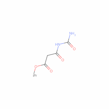 CC(C)OC(=O)CC(=O)NC(N)=O